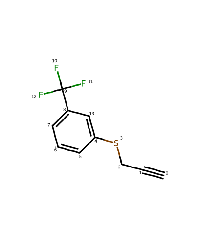 C#CCSc1c[c]cc(C(F)(F)F)c1